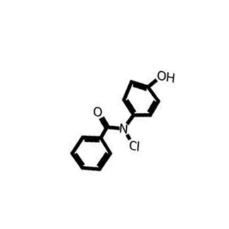 O=C(c1ccccc1)N(Cl)c1ccc(O)cc1